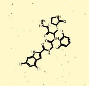 CC(C)(C)NC(=O)C(=O)C(C[C@@H]1CCNC1=O)NC(=O)[C@H](Cc1cccc(F)c1)NC(=O)c1cc2c(Cl)cc(Cl)cc2[nH]1